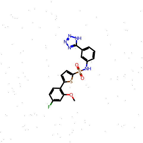 COc1cc(F)ccc1-c1ccc(S(=O)(=O)Nc2cccc(-c3nnn[nH]3)c2)s1